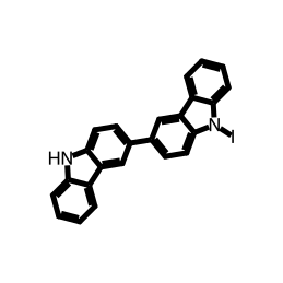 In1c2ccccc2c2cc(-c3ccc4[nH]c5ccccc5c4c3)ccc21